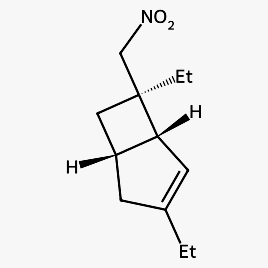 CCC1=C[C@@H]2[C@H](C1)C[C@@]2(CC)C[N+](=O)[O-]